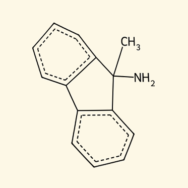 CC1(N)c2ccccc2-c2ccccc21